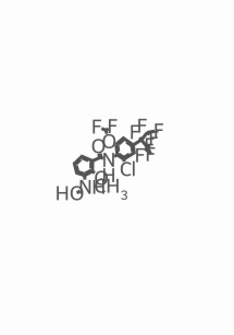 COc1c(NO)cccc1C(=O)Nc1c(Cl)cc(C(F)(C(F)(F)F)C(F)(F)F)cc1OC(F)F